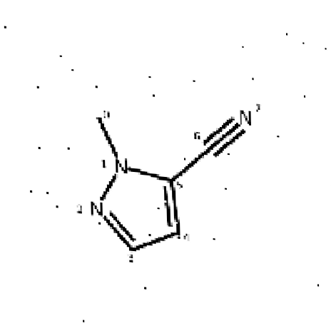 Cn1nc[c]c1C#N